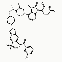 CN(C[C@H]1CC[C@H](n2cc3cc(NC(=O)c4cccc(C(F)(F)F)n4)c(S(C)(=N)=O)cc3n2)CC1)C1CCN(c2cccc3c2n(C)c(=O)n3C2CCC(=O)NC2=O)CC1F